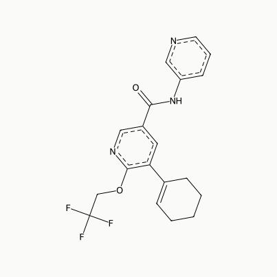 O=C(Nc1cccnc1)c1cnc(OCC(F)(F)F)c(C2=CCCCC2)c1